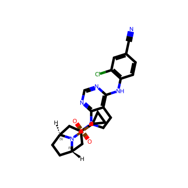 N#Cc1ccc(Nc2ncnc3c2CCN3C2C[C@@H]3CC[C@@H](C2)N3S(=O)(=O)C2CC2)c(Cl)c1